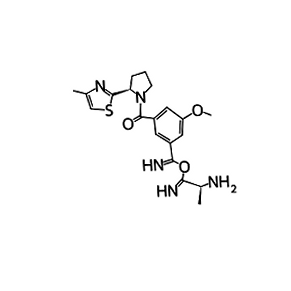 COc1cc(C(=N)OC(=N)[C@H](C)N)cc(C(=O)N2CCC[C@@H]2c2nc(C)cs2)c1